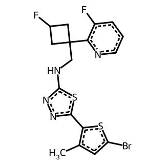 Cc1cc(Br)sc1-c1nnc(NCC2(c3ncccc3F)CC(F)C2)s1